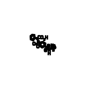 O=C(O)[C@H](c1ccccc1)n1c(=O)oc2cc(S(=O)(=O)Nc3nccs3)ccc21